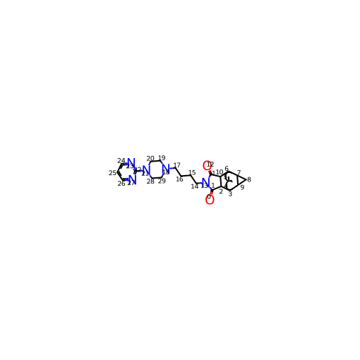 O=C1C2C3CCC(C4CC43)C2C(=O)N1CCCCN1CCN(c2ncccn2)CC1